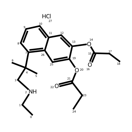 CCNCC(C)(C)c1cccc2cc(OC(=O)CC)c(OC(=O)CC)cc12.Cl